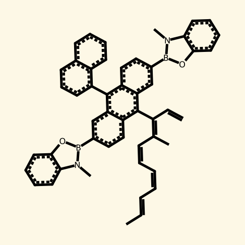 C=C/C(=C(C)/C=C\C=C/C=C/C)c1c2cc(B3Oc4ccccc4N3C)ccc2c(-c2cccc3ccccc23)c2cc(B3Oc4ccccc4N3C)ccc12